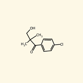 CC(C)(CO)C(=O)c1ccc(Cl)cc1